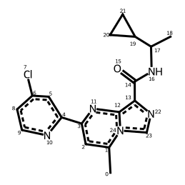 Cc1cc(-c2cc(Cl)ccn2)nc2c(C(=O)NC(C)C3CC3)ncn12